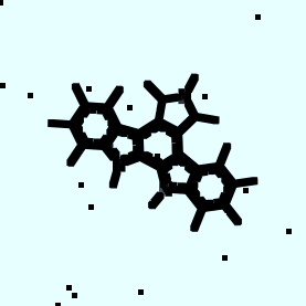 Cc1c(C)c(C)c2c(c1C)c1c3c(c4c5c(C)c(C)c(C)c(C)c5n(C)c4c1n2C)C(C)N(C)C3C